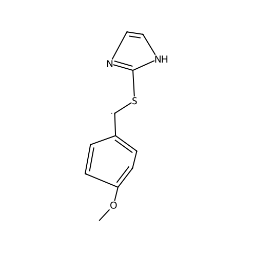 COc1ccc([CH]Sc2ncc[nH]2)cc1